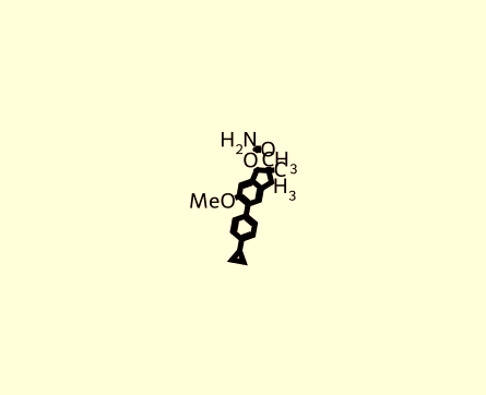 COc1cc2c(cc1-c1ccc(C3CC3)cc1)CC(C)(C)C2OC(N)=O